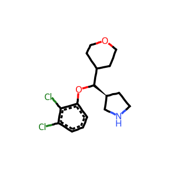 Clc1cccc(OC(C2CCOCC2)[C@H]2CCNC2)c1Cl